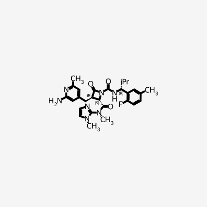 Cc1ccc(F)c([C@H](NC(=O)N2C(=O)[C@H](Cc3cc(C)nc(N)c3)[C@H]2C(=O)N(C)c2nccn2C)C(C)C)c1